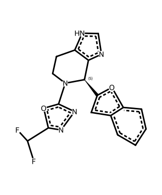 FC(F)c1nnc(N2CCc3[nH]cnc3[C@H]2c2cc3ccccc3o2)o1